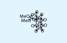 CO[Si](OC)(OC)O[Si](=O)[Si](=O)[Si](=O)[Si](=O)[Si](=O)[Si](=O)[Si](=O)[Si](=O)[SiH]=O